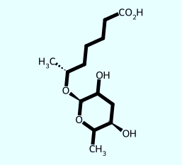 CC1O[C@@H](O[C@H](C)CCCCC(=O)O)C(O)C[C@H]1O